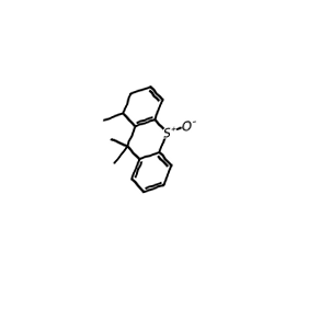 CC1CC=CC2=C1C(C)(C)c1ccccc1[S+]2[O-]